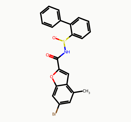 Cc1cc(Br)cc2oc(C(=O)N[S+]([O-])c3ccccc3-c3ccccc3)cc12